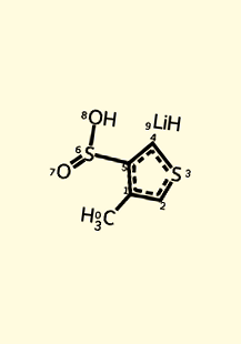 Cc1cscc1S(=O)O.[LiH]